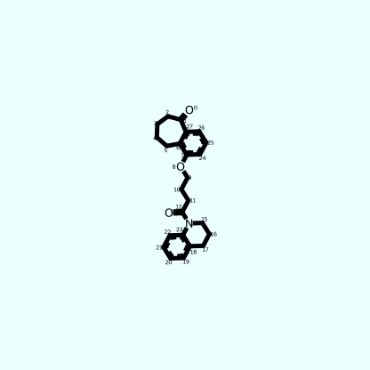 O=C1CCCCc2c(OCCCC(=O)N3CCCc4ccccc43)cccc21